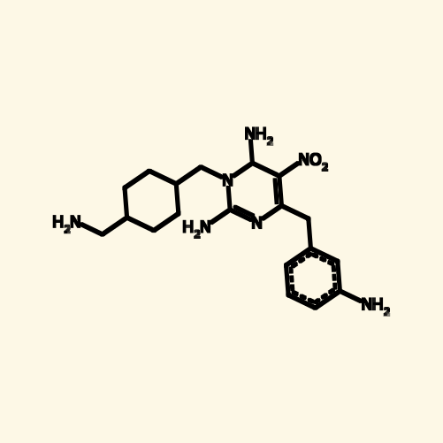 NCC1CCC(CN2C(N)=NC(Cc3cccc(N)c3)=C([N+](=O)[O-])C2N)CC1